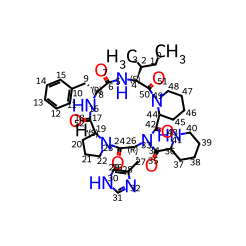 CCC(C)[C@@H]1NC(=O)[C@@H](Cc2ccccc2)NC(=O)[C@@H]2CCCN2C(=O)[C@@H](Cc2c[nH]cn2)N(C(=O)C2CCCCN2)C(=O)C2CCCCN2C1=O